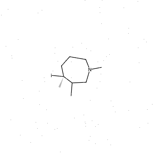 CC1CN(C)CCC[C@]1(C)I